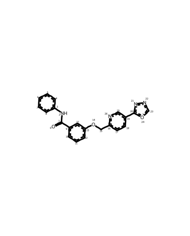 O=C(Nc1ccccc1)c1cccc(OCc2ccc(-c3nnco3)cn2)c1